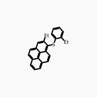 CCc1ccccc1Sc1c(CC)cc2ccc3cccc4ccc1c2c34